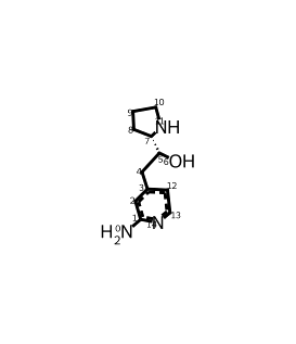 Nc1cc(CC(O)[C@@H]2CCCN2)ccn1